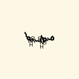 CCCCc1ccc(NC(=O)NCCCC[C@@H]2NC(=O)C3(CCN(CCc4ccccc4)CC3)N(CCC)C2=O)cc1